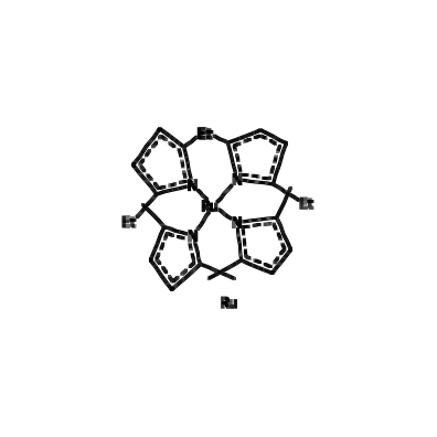 CCc1ccc(CC)[n]1[Ru]([n]1c(C)ccc1C)([n]1c(C)ccc1C)[n]1c(CC)ccc1CC.[Ru]